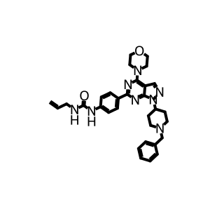 C=CCNC(=O)Nc1ccc(-c2nc(N3CCOCC3)c3cnn(C4CCN(Cc5ccccc5)CC4)c3n2)cc1